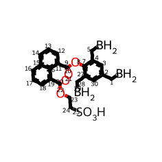 BCc1cc(CB)c(OC(=O)c2cccc3cccc(C(=O)OCCS(=O)(=O)O)c23)c(CB)c1